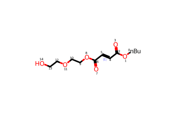 CCCCOC(=O)/C=C/C(=O)OCCOCCO